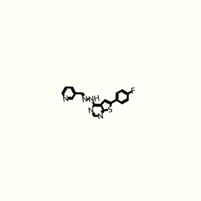 Fc1ccc(-c2cc3c(NN=Cc4cccnc4)ncnc3s2)cc1